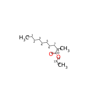 CCCCCCCCC(C)C(=O)OCC